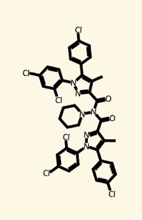 Cc1c(C(=O)N(C(=O)c2nn(-c3ccc(Cl)cc3Cl)c(-c3ccc(Cl)cc3)c2C)N2CCCCC2)nn(-c2ccc(Cl)cc2Cl)c1-c1ccc(Cl)cc1